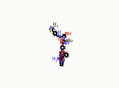 Cc1ncsc1-c1ccc(CNC(=O)[C@@H]2C[C@@H](O)CN2C(=O)[C@@H](NC(=O)[C@H]2CC[C@H](N3CCN(c4cnc(N5C6CCC5CN(c5cc(-c7ccccc7O)nnc5N)C6)nc4)CC3)CC2)C(C)(C)C)cc1